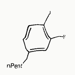 CCCCCc1ccc(I)c(F)c1